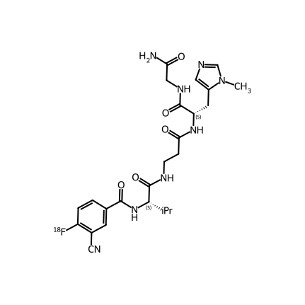 CC(C)[C@H](NC(=O)c1ccc([18F])c(C#N)c1)C(=O)NCCC(=O)N[C@@H](Cc1cncn1C)C(=O)NCC(N)=O